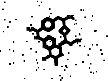 CCN1C(=O)OCc2cnc(NC(C)c3ccc(CN(C)C4CN(C(=O)OC(C)(C)C)C4)cc3)nc21